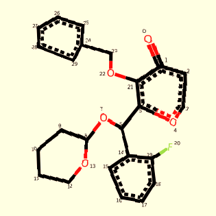 O=c1ccoc(C(OC2CCCCO2)c2ccccc2F)c1OCc1ccccc1